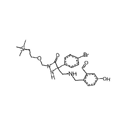 C[Si](C)(C)CCOCN1NC(CNCc2ccc(O)cc2C=O)(c2ccc(Br)cc2)C1=O